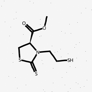 COC(=O)[C@@H]1CSC(=S)N1CCS